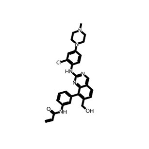 C=CC(=O)Nc1cccc(-c2c(CO)ccc3cnc(Nc4ccc(N5CCN(C)CC5)cc4Cl)nc23)c1